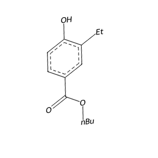 CCCCOC(=O)c1ccc(O)c(CC)c1